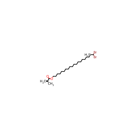 C=C(C)C(=O)OCCCCCCCCCCCCCCCCCC[SiH2]C(Br)Br